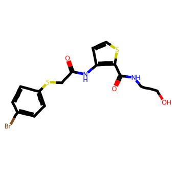 O=C(CSc1ccc(Br)cc1)Nc1ccsc1C(=O)NCCO